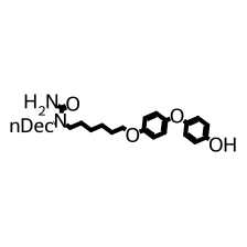 CCCCCCCCCCN(CCCCCCOc1ccc(Oc2ccc(O)cc2)cc1)C(N)=O